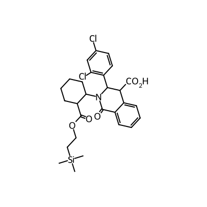 C[Si](C)(C)CCOC(=O)C1CCCCC1N1C(=O)c2ccccc2C(C(=O)O)C1c1ccc(Cl)cc1Cl